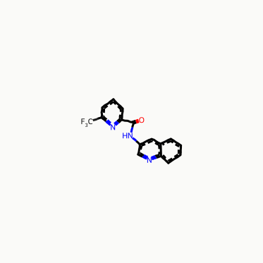 O=C(Nc1cnc2ccccc2c1)c1cccc(C(F)(F)F)n1